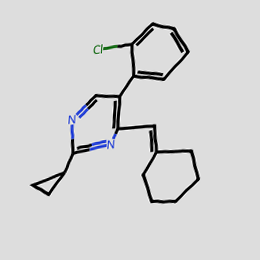 Clc1ccccc1-c1cnc(C2CC2)nc1C=C1CCCCC1